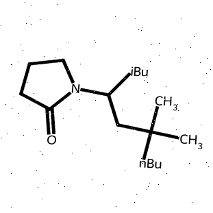 CCCCC(C)(C)CC(C(C)CC)N1CCCC1=O